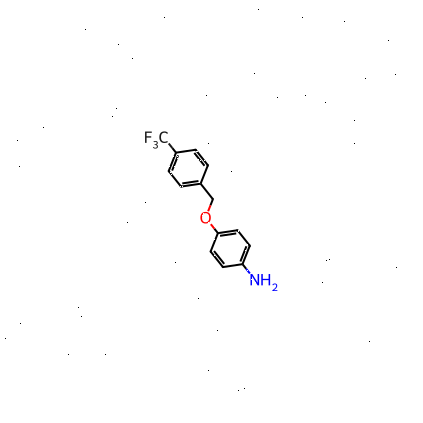 Nc1ccc(OCc2ccc(C(F)(F)F)cc2)cc1